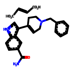 NC(=O)c1ccc2[nH]cc(C3=CCN(Cc4ccccc4)CC3)c2c1.O=C(O)C=CC(=O)O